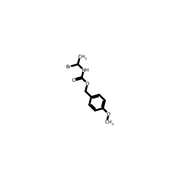 COc1ccc(COC(=O)NC(C)Br)cc1